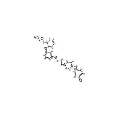 O=C(O)Cc1ccccc1Sc1cccc(OCCCN2CCN(Cc3ccc(Cl)cc3)CC2)c1